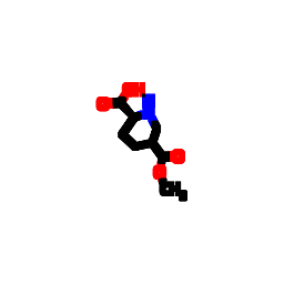 COC(=O)C1CC[C@@H](C(=O)O)NC1